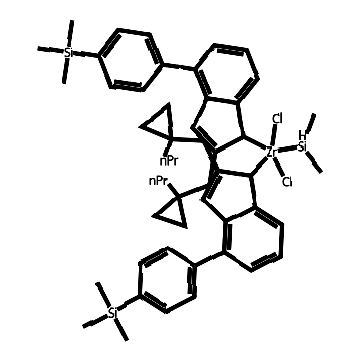 CCCC1(CC2=Cc3c(-c4ccc([Si](C)(C)C)cc4)cccc3[CH]2[Zr]([Cl])([Cl])([CH]2C(CC3(CCC)CC3)=Cc3c(-c4ccc([Si](C)(C)C)cc4)cccc32)[SiH](C)C)CC1